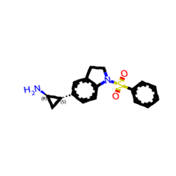 N[C@@H]1C[C@H]1c1ccc2c(c1)CCN2S(=O)(=O)c1ccccc1